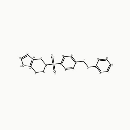 O=S(=O)(c1ccc(CCc2ccccc2)cc1)N1CCc2occc2C1